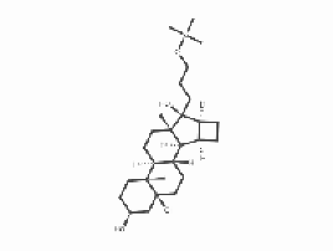 C[C@]12CC[C@H]3[C@@H](CC[C@]4(O)C[C@@H](O)CC[C@]34C)[C@@H]1[C@@H]1CC[C@@H]1[C@@]2(O)CCCO[Si](C)(C)C